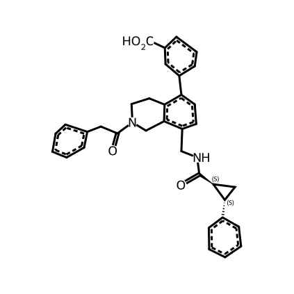 O=C(O)c1cccc(-c2ccc(CNC(=O)[C@H]3C[C@@H]3c3ccccc3)c3c2CCN(C(=O)Cc2ccccc2)C3)c1